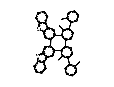 Cc1ccccc1-c1ccc2c(c1C)-c1cc3c(cc1-c1cc4sc5ccccc5c4cc1-c1c-2ccc(-c2ccccc2C)c1C)sc1ccccc13